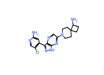 Nc1cc(-c2n[nH]c3nc(N4CCC5(CCC5N)CC4)cnc23)c(Cl)cn1